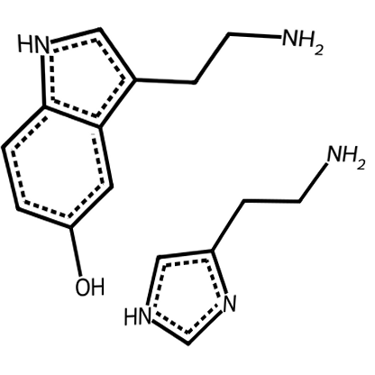 NCCc1c[nH]c2ccc(O)cc12.NCCc1c[nH]cn1